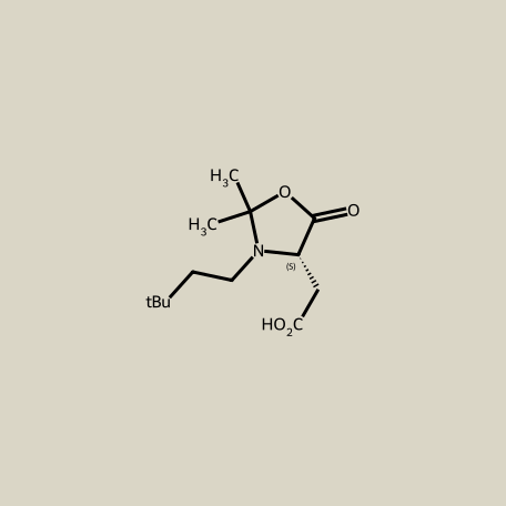 CC(C)(C)CCN1[C@@H](CC(=O)O)C(=O)OC1(C)C